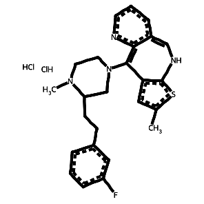 Cc1cc2c(s1)NC=c1cccnc1=C2N1CCN(C)C(CCc2cccc(F)c2)C1.Cl.Cl